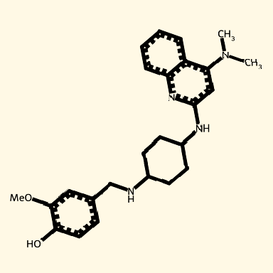 COc1cc(CNC2CCC(Nc3cc(N(C)C)c4ccccc4n3)CC2)ccc1O